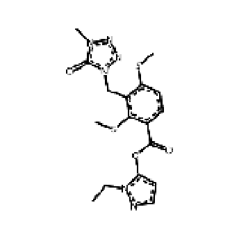 CCn1nccc1OC(=O)c1ccc(SC)c(Cn2nnn(C)c2=O)c1SC